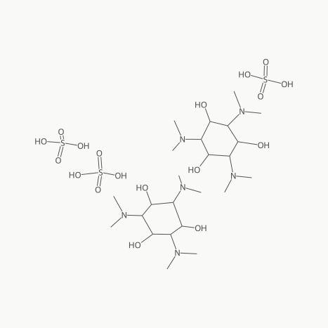 CN(C)C1C(O)C(N(C)C)C(O)C(N(C)C)C1O.CN(C)C1C(O)C(N(C)C)C(O)C(N(C)C)C1O.O=S(=O)(O)O.O=S(=O)(O)O.O=S(=O)(O)O